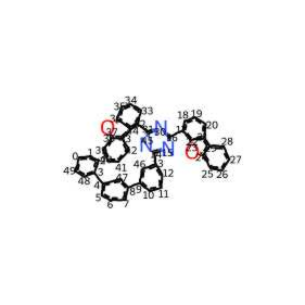 c1ccc(-c2cccc(-c3cccc(-c4nc(-c5cccc6c5oc5ccccc56)nc(-c5cccc6oc7ccccc7c56)n4)c3)c2)cc1